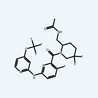 CC(=O)NCC1CCC(F)(F)CN1C(=O)c1nc(Nc2cc(OC(F)(F)F)ccn2)ccc1F